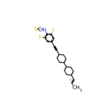 C/C=C/C1CCC(C2CCC(C#Cc3cc(F)c(N=C=S)c(F)c3)CC2)CC1